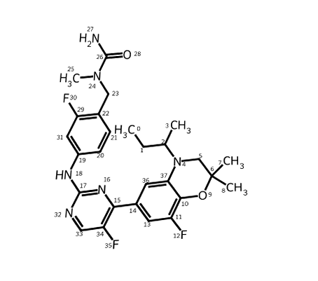 CCC(C)N1CC(C)(C)Oc2c(F)cc(-c3nc(Nc4ccc(CN(C)C(N)=O)c(F)c4)ncc3F)cc21